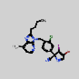 CCCCc1nc2c(C)ccnc2n1Cc1ccc(C2(C#N)N=CC(Br)=C2I)cc1Cl